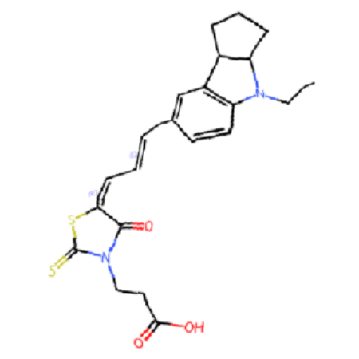 CCN1c2ccc(/C=C/C=C3/SC(=S)N(CCC(=O)O)C3=O)cc2C2CCCC21